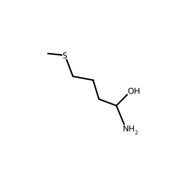 CSCCCC(N)O